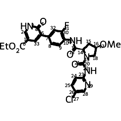 CCOC(=O)c1c[nH]c(=O)c(-c2ccc(NC(=O)[C@H]3C[C@@H](OC)CN3C(=O)Nc3ccc(Cl)cn3)c(F)c2)c1